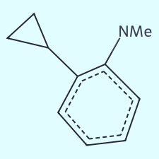 CNc1ccccc1C1CC1